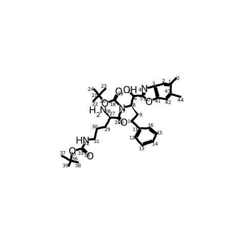 Cc1cc2nc(C(O)[C@@H](CCc3ccccc3)N(C(=O)OC(C)(C)C)C(=O)[C@H](N)CCCNC(=O)OC(C)(C)C)oc2cc1C